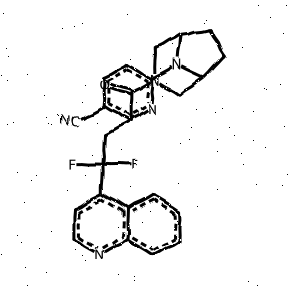 N#Cc1ccc(N2C3CCC2CN(C(=O)CCC(F)(F)c2ccnc4ccccc24)C3)nc1